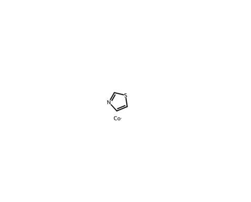 [Co].c1cscn1